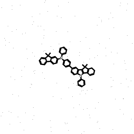 CC1(C)C2=C(C=CCC2)c2c1c1cc(-c3ccc(N(c4ccccc4)c4ccc5c(c4)C(C)(C)c4ccccc4-5)cc3)ccc1n2-c1ccccc1